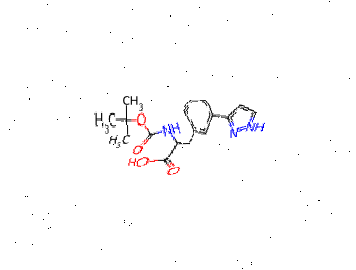 CC(C)(C)OC(=O)NC(Cc1cccc(-c2cc[nH]n2)c1)C(=O)O